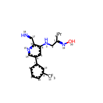 CC(C)/C(CNc1cc(-c2cccc(C(F)(F)F)c2)cnc1C=N)=N\O